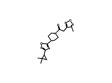 Cc1nonc1CC(=O)N1CCC(c2nc(C3CC3(C)C)no2)CC1